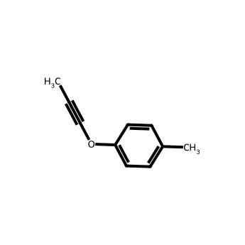 CC#COc1ccc(C)cc1